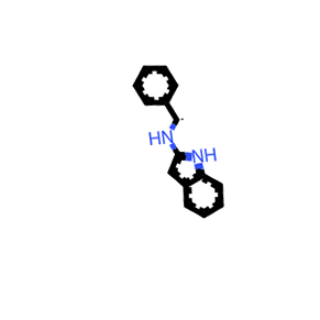 [CH](Nc1cc2ccccc2[nH]1)c1ccccc1